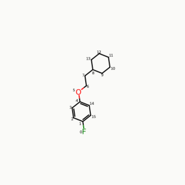 Fc1ccc(OCCC2CCCCC2)cc1